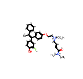 CCC(=C(c1ccc(OCCN(CC=CC(=O)N(C)C)C(=O)O)cc1)c1ccc(O)c(F)c1)c1ccccc1